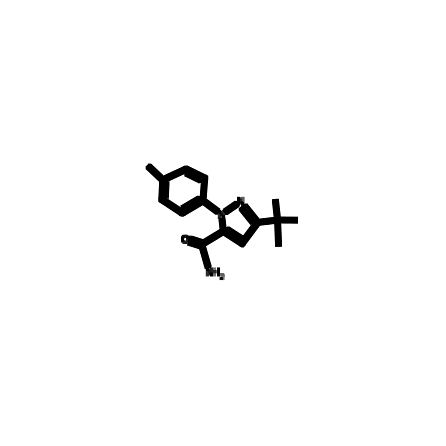 Cc1ccc(-n2nc(C(C)(C)C)cc2C(N)=O)cc1